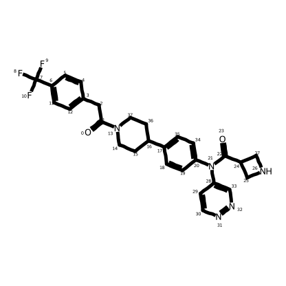 O=C(Cc1ccc(C(F)(F)F)cc1)N1CCC(c2ccc(N(C(=O)C3CNC3)c3ccnnc3)cc2)CC1